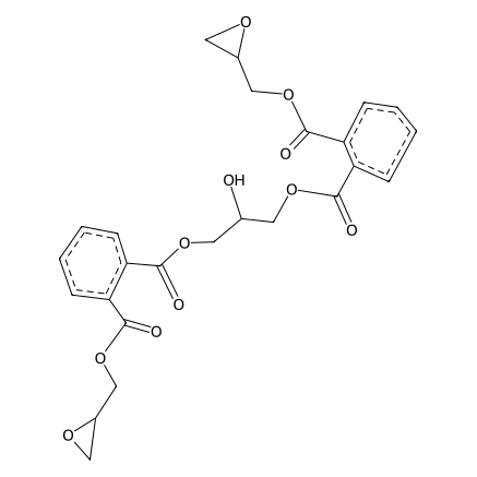 O=C(OCC(O)COC(=O)c1ccccc1C(=O)OCC1CO1)c1ccccc1C(=O)OCC1CO1